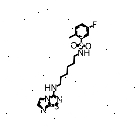 Cc1ccc(F)cc1S(=O)(=O)NCCCCCCNc1nsc2nccn12